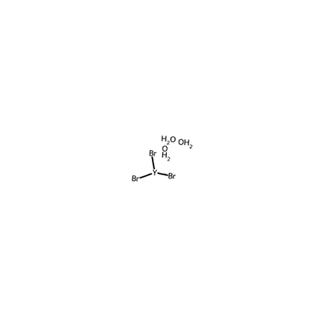 O.O.O.[Br][Y]([Br])[Br]